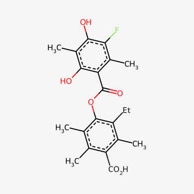 CCc1c(C)c(C(=O)O)c(C)c(C)c1OC(=O)c1c(C)c(F)c(O)c(C)c1O